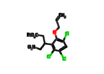 C=CCOc1c(Cl)cc(Cl)c(Cl)c1C(CC(=O)OCC)C[N+](=O)[O-]